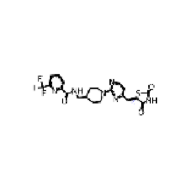 O=C1NC(=O)/C(=C/c2ccnc(N3CCC(CNC(=O)c4cccc(C(F)(F)F)n4)CC3)n2)S1